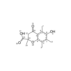 Cc1c(C)c2c(c(C)c1O)C(=O)CC(C)(C(=O)O)O2